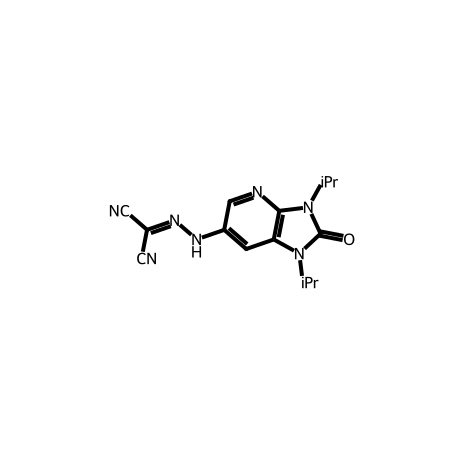 CC(C)n1c(=O)n(C(C)C)c2ncc(NN=C(C#N)C#N)cc21